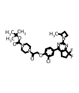 CC1CCN1c1nc(-c2ccc(OCC(=O)N3CCN(C(=O)OC(C)(C)C)CC3)c(Cl)c2)c2c(n1)C(F)(F)CC2